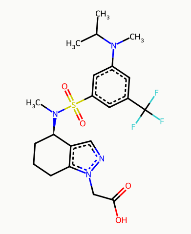 CC(C)N(C)c1cc(C(F)(F)F)cc(S(=O)(=O)N(C)[C@@H]2CCCc3c2cnn3CC(=O)O)c1